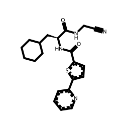 N#CCNC(=O)[C@H](CC1CCCCC1)NC(=O)c1ccc(-c2ccccn2)s1